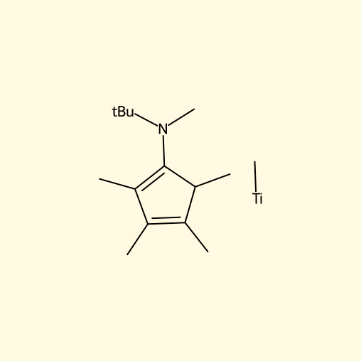 CC1=C(C)C(C)C(N(C)C(C)(C)C)=C1C.[CH3][Ti]